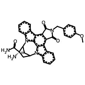 COc1ccc(CN2C(=O)c3c(c4c5ccccc5n5c4c4c3c3ccccc3n4C3CC5[C@](N)(C(N)=O)C3)C2=O)cc1